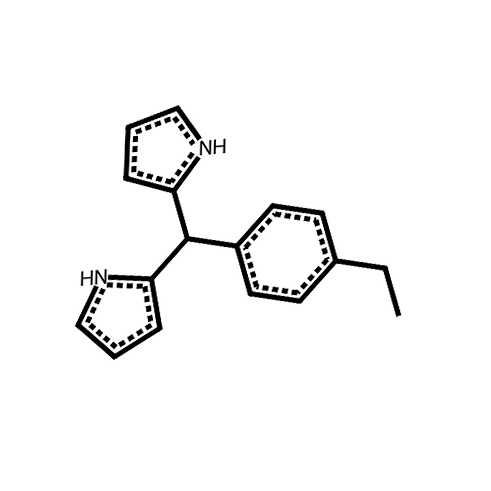 CCc1ccc(C(c2ccc[nH]2)c2ccc[nH]2)cc1